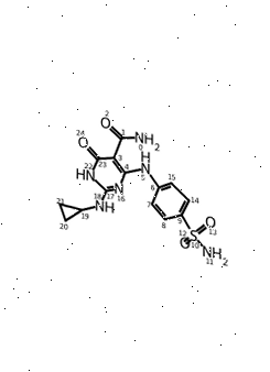 NC(=O)c1c(Nc2ccc(S(N)(=O)=O)cc2)nc(NC2CC2)[nH]c1=O